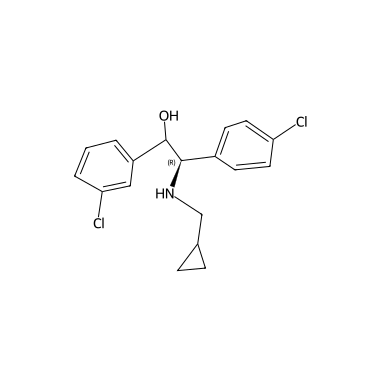 OC(c1cccc(Cl)c1)[C@H](NCC1CC1)c1ccc(Cl)cc1